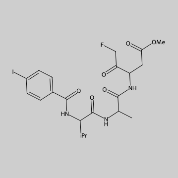 COC(=O)CC(NC(=O)C(C)NC(=O)C(NC(=O)c1ccc(I)cc1)C(C)C)C(=O)CF